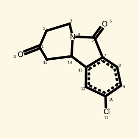 O=C1CCN2C(=O)c3ccc(Cl)cc3C2C1